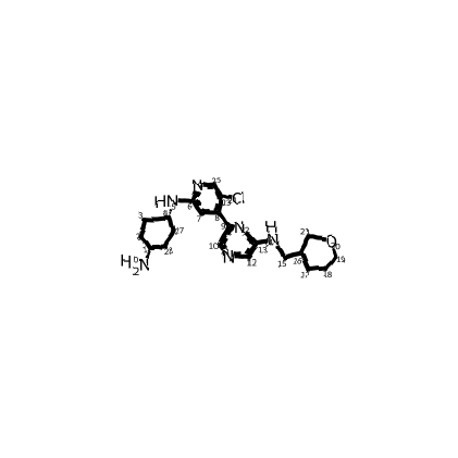 N[C@H]1CC[C@H](Nc2cc(-c3cncc(NCC4CCCOC4)n3)c(Cl)cn2)CC1